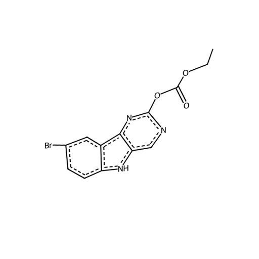 CCOC(=O)Oc1ncc2[nH]c3ccc(Br)cc3c2n1